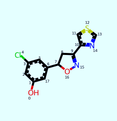 Oc1cc(Cl)cc(C2CC(c3cs[c]n3)=NO2)c1